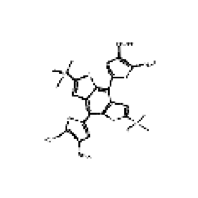 CCCCCCCCc1cc(-c2c3c[c]([Sn]([CH3])([CH3])[CH3])sc3c(-c3cc(CCCCCCCC)c(CCCCCCCC)s3)c3c[c]([Sn]([CH3])([CH3])[CH3])sc23)sc1CCCCCCCC